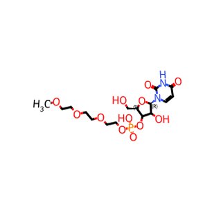 COCCOCCOCCOP(=O)(O)OC1C(O)[C@H](n2ccc(=O)[nH]c2=O)O[C@@H]1CO